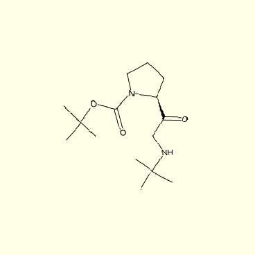 CC(C)(C)NCC(=O)[C@@H]1CCCN1C(=O)OC(C)(C)C